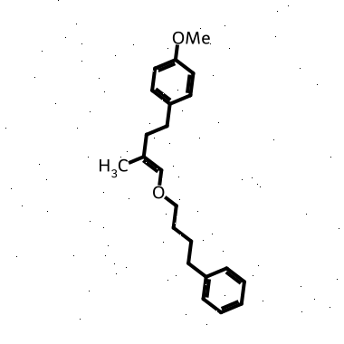 COc1ccc(CCC(C)=COCCCCc2ccccc2)cc1